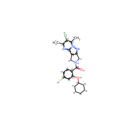 Cc1nc2c3c(nn2c(C)c1Cl)CN(C(=O)c1ccc(F)cc1OC1CCCCC1)C3